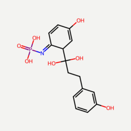 O=P(O)(O)N=C1C=CC(O)=CC1C(O)(O)CCc1cccc(O)c1